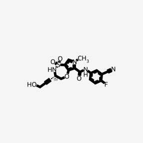 Cn1cc2c(c1C(=O)Nc1ccc(F)c(C#N)c1)OC[C@H](C#CCO)NS2(=O)=O